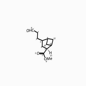 COC(=O)[C@H]1CC(CCC=O)C2CC1C2